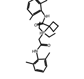 CC[PH](CC)(CC(=O)Nc1c(C)cccc1C)C1(C(=O)Nc2c(C)cccc2C)CCC1